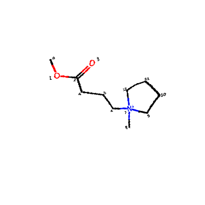 COC(=O)CCC[N+]1(C)CCCC1